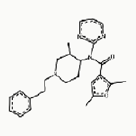 Cc1cc(C(=O)N(c2ncccn2)C2CCN(CCc3ccccc3)CC2C)c(C)o1